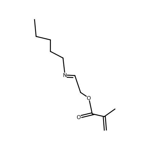 C=C(C)C(=O)OCC=NCCCCC